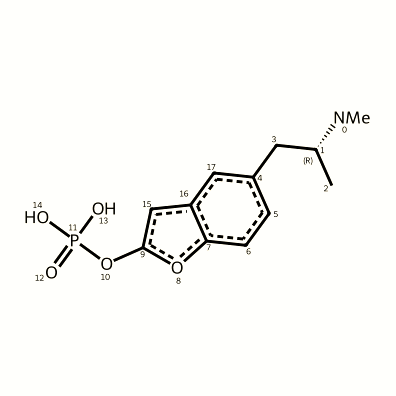 CN[C@H](C)Cc1ccc2oc(OP(=O)(O)O)cc2c1